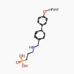 CCCCCOc1ccc(-c2ccc(CNCCCP(=O)(O)O)cc2)cc1